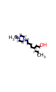 CCC[C@@H](CCO)CCCCN1CCN(C)CC1